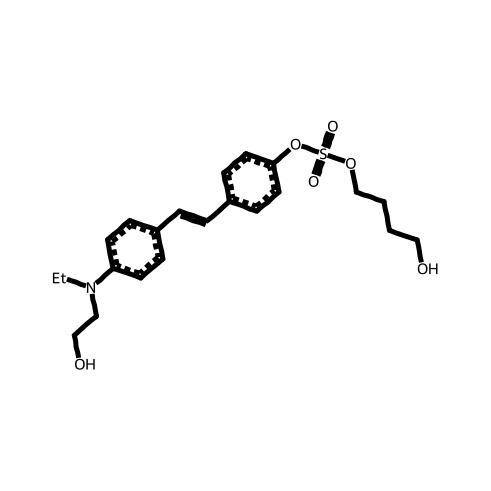 CCN(CCO)c1ccc(C=Cc2ccc(OS(=O)(=O)OCCCCO)cc2)cc1